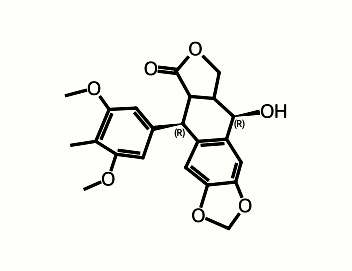 COc1cc([C@@H]2c3cc4c(cc3[C@H](O)C3COC(=O)C32)OCO4)cc(OC)c1C